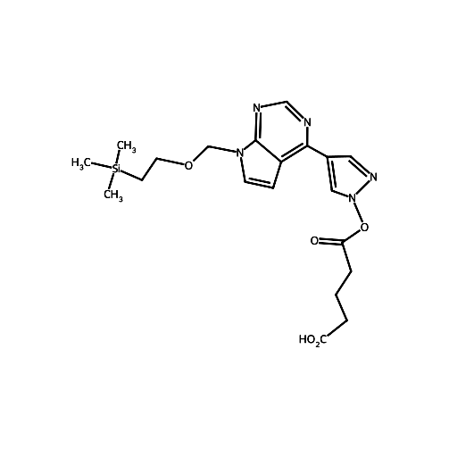 C[Si](C)(C)CCOCn1ccc2c(-c3cnn(OC(=O)CCCC(=O)O)c3)ncnc21